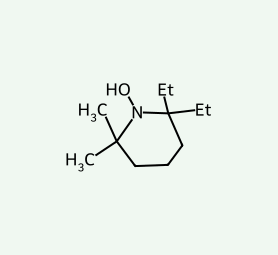 CCC1(CC)CCCC(C)(C)N1O